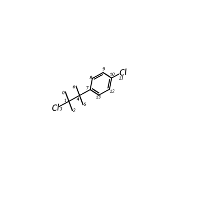 CC(C)(Cl)C(C)(C)c1ccc(Cl)cc1